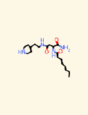 CCCCCCCC(=O)NC(CC(=O)NCCC1CCNCC1)C(N)=O